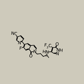 C[C@@H](CCCn1ccc2cc(-c3ccc(C#N)cn3)c(F)cc2c1=O)Nc1cn[nH]c(=O)c1C(F)(F)F